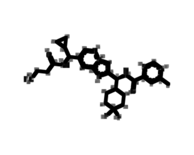 Cc1cc(C(=O)N[C@H](c2cn3ncc(C(NC(=O)CCC(F)(F)F)C4CC4)cc3n2)C2CCC(F)(F)CC2)ncn1